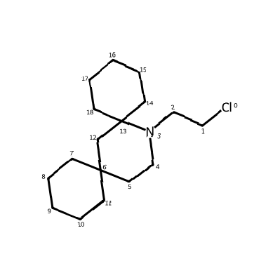 ClCCN1CCC2(CCCCC2)CC12CCCCC2